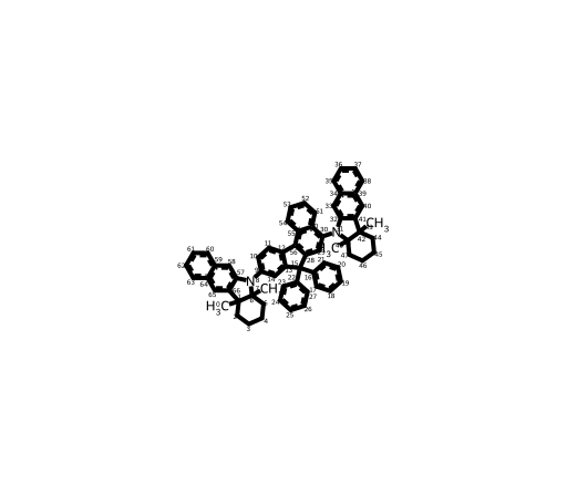 CC12CCCCC1(C)N(c1ccc3c(c1)C(c1ccccc1)(c1ccccc1)c1cc(N4c5cc6ccccc6cc5C5(C)CCCCC45C)c4ccccc4c1-3)c1cc3ccccc3cc12